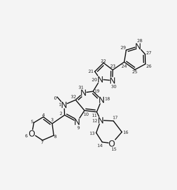 Cn1c(C2=CCOCC2)nc2c(N3CCOCC3)nc(-n3ccc(-c4cccnc4)n3)nc21